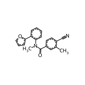 Cc1cc(C(=O)N(C)c2ccccc2-c2ccco2)ccc1C#N